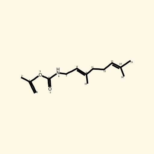 C=C(C)OC(=O)NC/C=C(\C)CCC=C(C)C